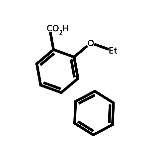 CCOc1ccccc1C(=O)O.c1ccccc1